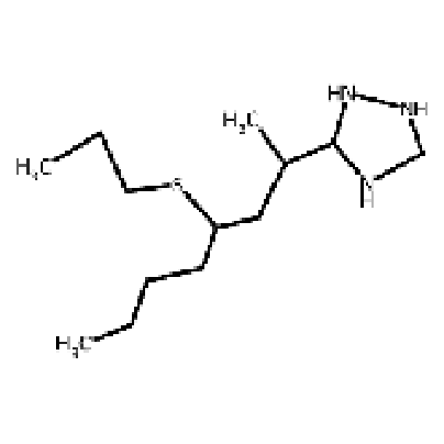 CCCCC(CC(C)C1NCNN1)SCCC